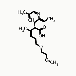 C=C(C)/C=N\C(=C/C)C[C@@H](C(=O)O)/C(C)=C\CCOCCOC